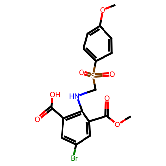 COC(=O)c1cc(Br)cc(C(=O)O)c1NCS(=O)(=O)c1ccc(OC)cc1